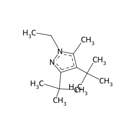 CCn1nc(C(C)(C)C)c(C(C)(C)C)c1C